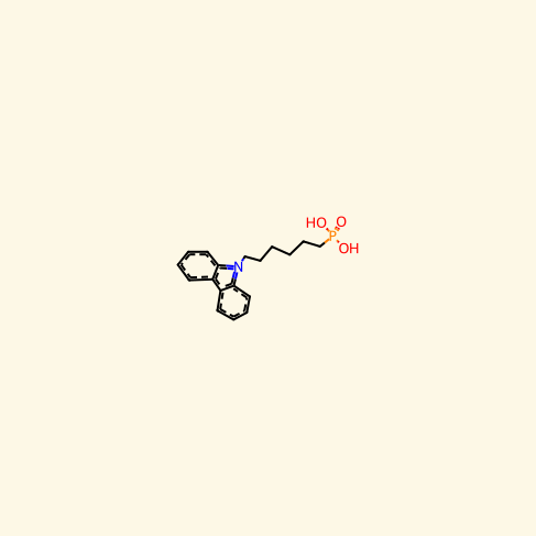 O=P(O)(O)CCCCCCn1c2ccccc2c2ccccc21